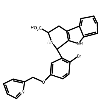 O=C(O)C1Cc2c([nH]c3ccccc23)C(c2cc(OCc3ccccn3)ccc2Br)N1